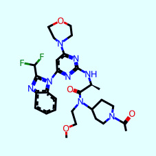 COCCN(C(=O)[C@H](C)Nc1nc(N2CCOCC2)cc(-n2c(C(F)F)nc3ccccc32)n1)C1CCN(C(C)=O)CC1